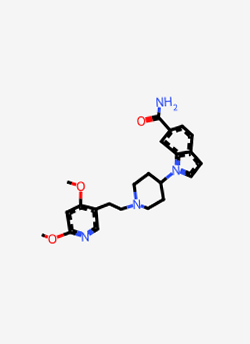 COc1cc(OC)c(CCN2CCC(n3ccc4ccc(C(N)=O)cc43)CC2)cn1